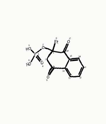 CCC1(OP(=O)(O)O)CC(=O)c2ccccc2C1=O